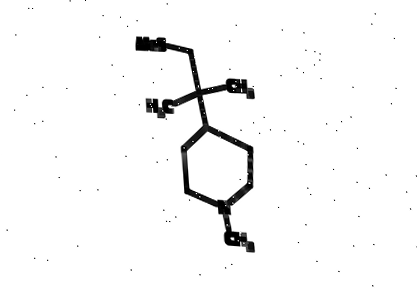 CSCC(C)(C)C1CCN(C)CC1